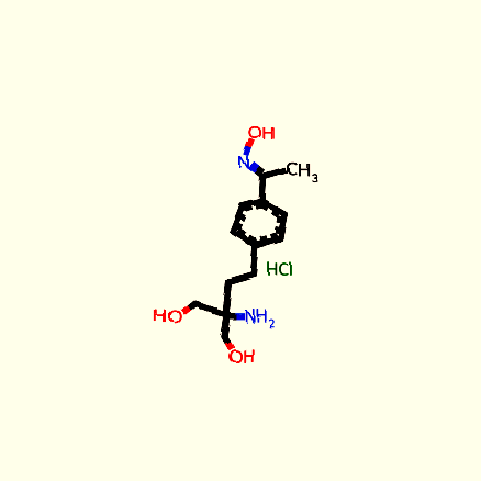 CC(=NO)c1ccc(CCC(N)(CO)CO)cc1.Cl